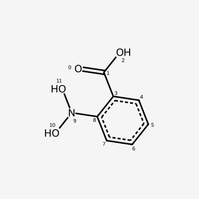 O=C(O)c1ccccc1N(O)O